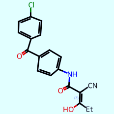 CC/C(O)=C(\C#N)C(=O)Nc1ccc(C(=O)c2ccc(Cl)cc2)cc1